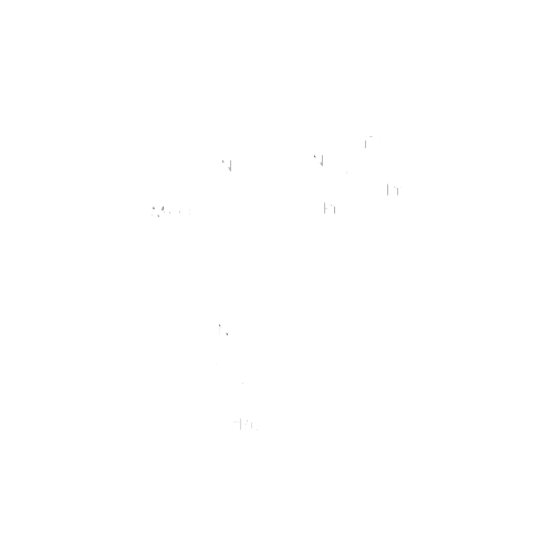 COc1nc2ccn([Si](C(C)C)(C(C)C)C(C)C)c2cc1C1CCN(C(=O)OC(C)(C)C)CC1